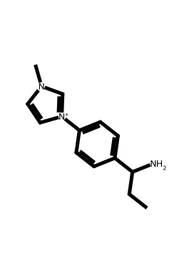 CCC(N)c1ccc(-[n+]2ccn(C)c2)cc1